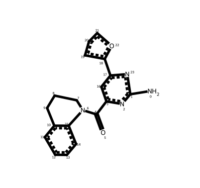 Nc1nc(C(=O)N2CCCc3ccccc32)cc(-c2ccco2)n1